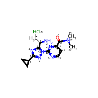 C[C@H](N)c1nc(C2CC2)nn1-c1nccc(C(=O)N(C)C)n1.Cl